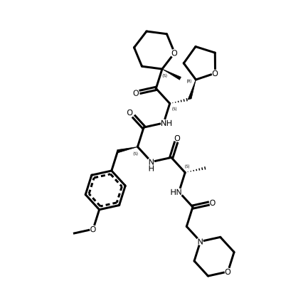 COc1ccc(C[C@H](NC(=O)[C@H](C)NC(=O)CN2CCOCC2)C(=O)N[C@@H](C[C@H]2CCCO2)C(=O)[C@]2(C)CCCCO2)cc1